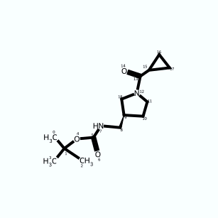 CC(C)(C)OC(=O)NC[C@@H]1CCN(C(=O)C2CC2)C1